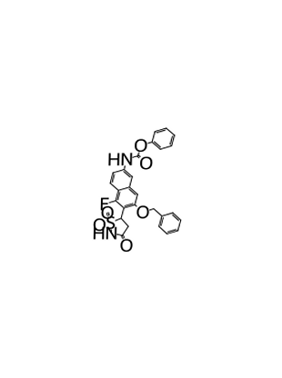 O=C1CC(c2c(OCc3ccccc3)cc3cc(NC(=O)Oc4ccccc4)ccc3c2F)S(=O)(=O)N1